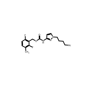 CC(=O)CCCCn1ccc(NC(=O)OCc2c(F)ccc(C)c2F)n1